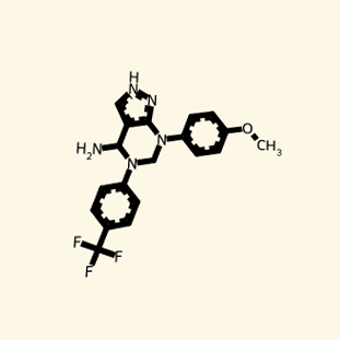 COc1ccc(N2CN(c3ccc(C(F)(F)F)cc3)C(N)c3c[nH]nc32)cc1